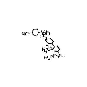 Cc1cc(S(=O)(=O)N[C@H]2CC[C@@H](C#N)CC2)ccc1-c1ccc2[nH]nc(N)c2c1C